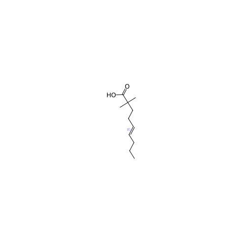 CCC/C=C/CCC(C)(C)C(=O)O